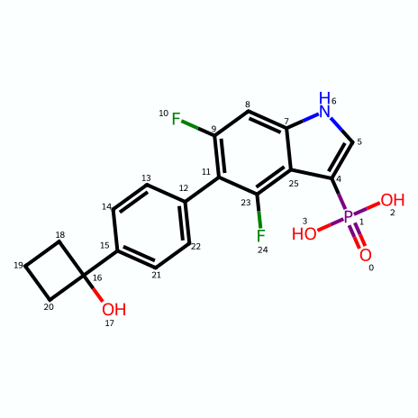 O=P(O)(O)c1c[nH]c2cc(F)c(-c3ccc(C4(O)CCC4)cc3)c(F)c12